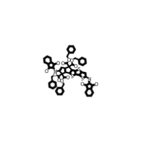 O=C(OCc1ccccc1)C1(C(=O)OCc2ccccc2)C(N=c2c(=O)c3ccccc3c2=O)=CC2=C1c1sc3c(sc4cc(N=c5c(=O)c6ccccc6c5=O)sc43)c1C2(C(=O)OCc1ccccc1)C(=O)OCc1ccccc1